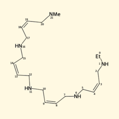 CCNC/C=C\CNC/C=C\CNC/C=C\CNC/C=C\CNC